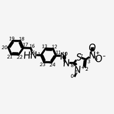 C[n+]1cc([N+](=O)[O-])sc1N=Nc1ccc(NCc2ccccc2)cc1